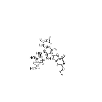 CCOc1cc2cc(-c3c(C)nc(NC(C)C4CC4)nc3N[C@@H]3C[C@H](C(C)(C)O)[C@@H](O)[C@H]3O)oc2c(C)n1